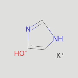 [K+].[OH-].c1c[nH]cn1